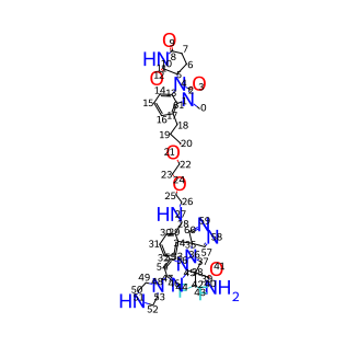 Cn1c(=O)n(C2CCC(=O)NC2=O)c2cccc(CCCOCCOCCNCc3ccccc3C3(N4CC(C(N)=O)(C(F)F)C5N=C(N6CCNCC6)C=CN54)C=NN=C3)c21